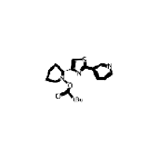 CC(C)(C)C(=O)ON1CCCC[C@@H]1c1csc(-c2cccnc2)n1